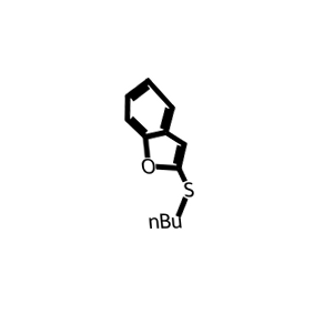 CCCCSc1cc2ccccc2o1